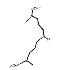 CCCCCCCCCCN(C)CCCN(CC)CCCN(C)CCCCCCCCCC